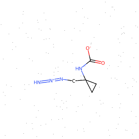 N=[N+]=NCC1(NC(=O)[O-])CC1